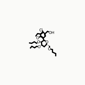 CCCCOC[C@@H]1C[C@H](OCCCC)[C@@H](OCCCC)C(c2cc(CO)c(Cl)c3c2OCC3)O1